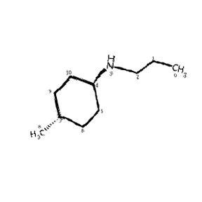 CCCN[C@H]1CC[C@H](C)CC1